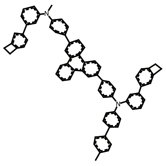 Cc1ccc(-c2ccc(N(c3ccc(-c4ccc5c6ccc(-c7ccc(N(C)c8cccc(-c9ccc%10c(c9)CC%10)c8)cc7)cc6c6ccccc6c5c4)cc3)c3cccc(-c4ccc5c(c4)CC5)c3)cc2)cc1